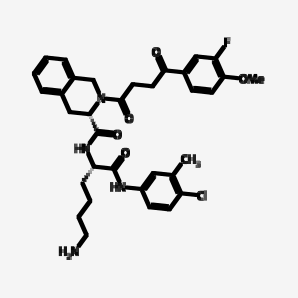 COc1ccc(C(=O)CCC(=O)N2Cc3ccccc3C[C@H]2C(=O)N[C@@H](CCCCN)C(=O)Nc2ccc(Cl)c(C)c2)cc1F